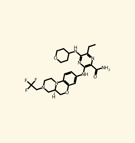 CCc1nc(C(N)=O)c(Nc2ccc3c(c2)OC[C@H]2CN(CC(F)(F)F)CCN32)nc1NC1CCOCC1